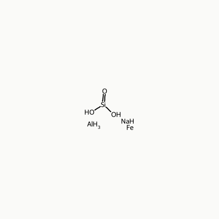 O=[Si](O)O.[AlH3].[Fe].[NaH]